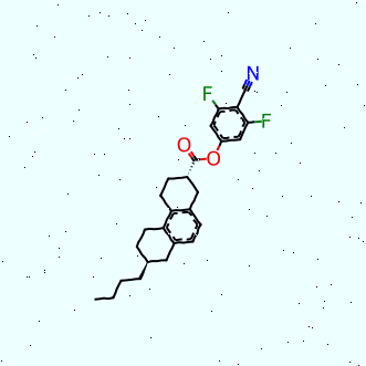 CCCC[C@H]1CCc2c(ccc3c2CC[C@H](C(=O)Oc2cc(F)c(C#N)c(F)c2)C3)C1